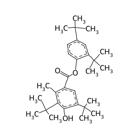 Cc1c(C(=O)Oc2ccc(C(C)(C)C)cc2C(C)(C)C)cc(C(C)(C)C)c(O)c1C(C)(C)C